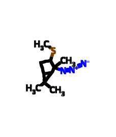 CSC1CC2C(C2(C)C)C1(C)N=[N+]=[N-]